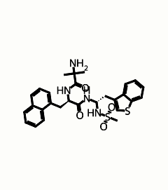 CC(C)(N)C(=O)N[C@H](Cc1cccc2ccccc12)C(=O)N[C@H](Cc1csc2ccccc12)NS(C)(=O)=O